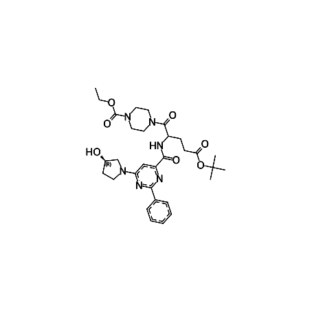 CCOC(=O)N1CCN(C(=O)C(CCC(=O)OC(C)(C)C)NC(=O)c2cc(N3CC[C@@H](O)C3)nc(-c3ccccc3)n2)CC1